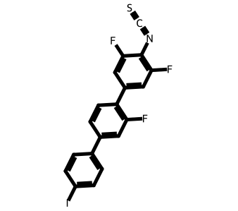 Fc1cc(-c2ccc(I)cc2)ccc1-c1cc(F)c(N=C=S)c(F)c1